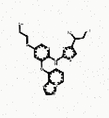 OCCSc1cnc(Nc2nc(C(O)CO)cs2)c(Oc2cccn3ncnc23)c1